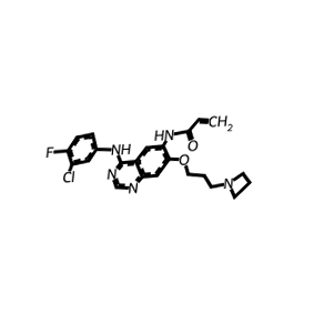 C=CC(=O)Nc1cc2c(Nc3ccc(F)c(Cl)c3)ncnc2cc1OCCCN1CCC1